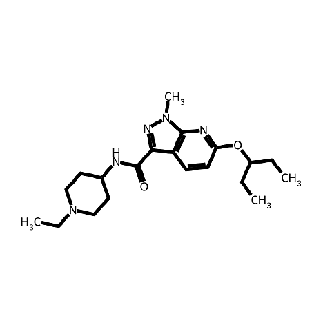 CCC(CC)Oc1ccc2c(C(=O)NC3CCN(CC)CC3)nn(C)c2n1